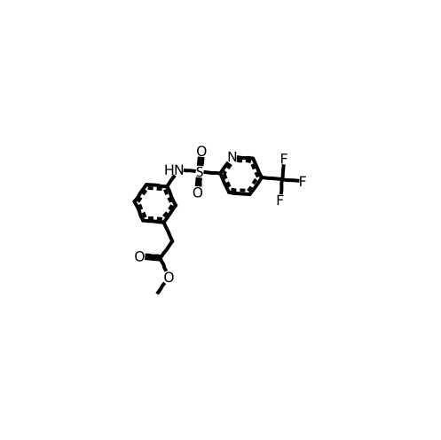 COC(=O)Cc1cccc(NS(=O)(=O)c2ccc(C(F)(F)F)cn2)c1